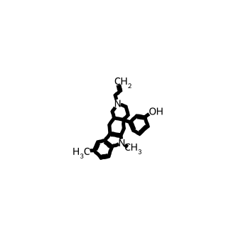 C=CCN1CCC2(c3cccc(O)c3)Cc3c(c4cc(C)ccc4n3C)CC2C1